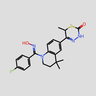 CC1SC(=O)NN=C1c1ccc2c(c1)C(C)(C)CCN2C(=NO)c1ccc(F)cc1